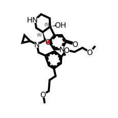 COCCCc1cc(CN(C(=O)[C@H]2CNCC[C@@]2(O)c2ccn(C)c(=O)c2)C2CC2)cc(OCCOC)c1